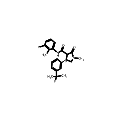 Cc1c(F)cccc1NC(=O)C1C(=O)N(C)C[C@H]1c1cccc(C(C)(C)F)c1